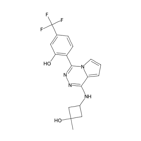 CC1(O)CC(Nc2nnc(-c3ccc(C(F)(F)F)cc3O)n3cccc23)C1